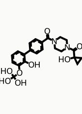 O=C(c1ccc(-c2cccc(OC(O)(O)O)c2O)cc1)N1CCN(C(=O)C2(O)CC2)CC1